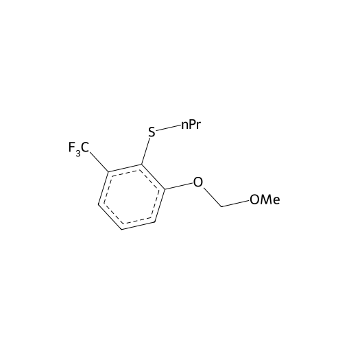 CCCSc1c(OCOC)cccc1C(F)(F)F